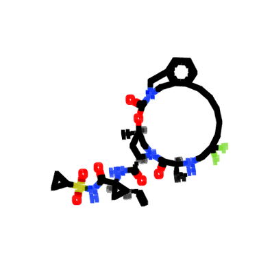 C=C[C@@H]1C[C@]1(NC(=O)[C@@H]1C[C@@H]2CN1C(=O)[C@H](C(C)C)NCC(F)(F)CCCCCc1cccc3c1CN(C3)C(=O)O2)C(=O)NS(=O)(=O)C1CC1